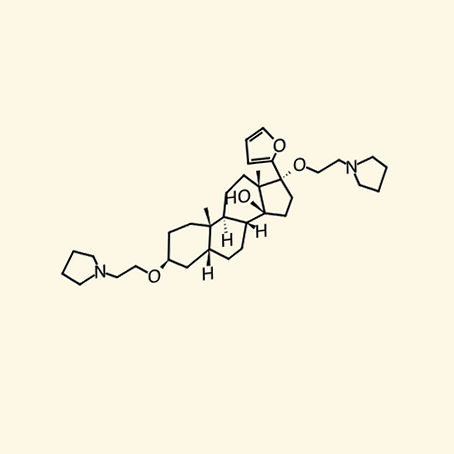 C[C@]12CC[C@H](OCCN3CCCC3)C[C@H]1CC[C@@H]1[C@@H]2CC[C@]2(C)[C@@](OCCN3CCCC3)(c3ccco3)CC[C@]12O